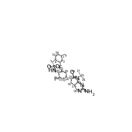 Cc1ccc(CS(=O)(=O)Nc2c(F)cc(-c3cc4cnc(N)nc4n(C(C)C)c3=O)cc2F)cc1